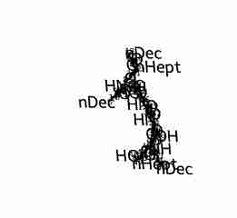 CCCCCCCCCCCCCC(=O)N[C@H](COCC[C@@H](CCCCCCC)OC(=O)CCCCCCCCCCC)COP(=O)(O)OCCNC(=O)CC(=O)NCCOP(=O)(O)OC[C@H](COCC[C@H](O)CCCCCCC)NC(=O)CCCCCCCCCCCCC